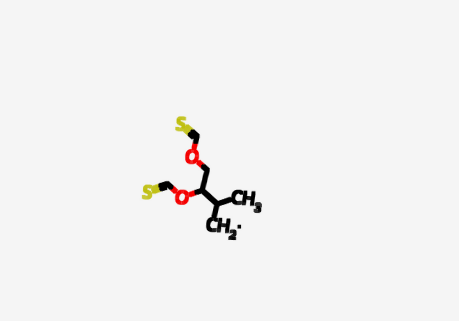 [CH2]C(C)C(COC=S)OC=S